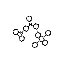 c1ccc(-c2c3ccccc3c(-c3ccccc3)c3cc(-c4cccc(N(c5ccccc5)c5ccc(-n6c7ccccc7c7ccccc76)cc5)c4)ccc23)cc1